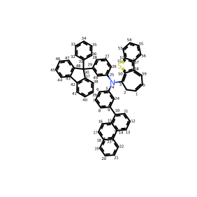 C1=CCC(N(c2cccc(-c3cccc4c3ccc3ccccc34)c2)c2cccc(C3(c4ccccc4)c4ccccc4-c4ccccc43)c2)=c2sc3ccccc3c2=C1